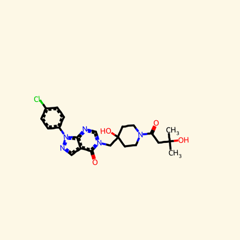 CC(C)(O)CC(=O)N1CCC(O)(Cn2cnc3c(cnn3-c3ccc(Cl)cc3)c2=O)CC1